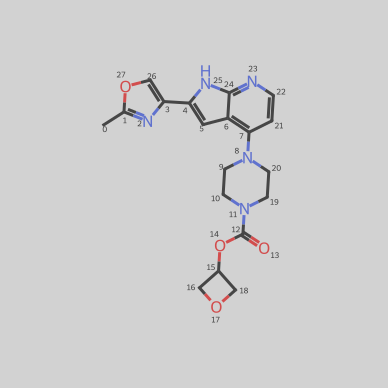 Cc1nc(-c2cc3c(N4CCN(C(=O)OC5COC5)CC4)ccnc3[nH]2)co1